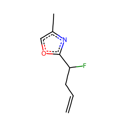 C=CCC(F)c1nc(C)co1